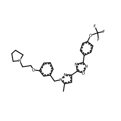 Cc1cc(-c2nc(-c3ccc(OC(F)(F)F)cc3)no2)nn1Cc1cccc(OCCN2CCCC2)c1